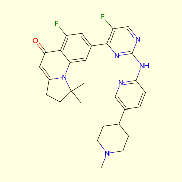 CN1CCC(c2ccc(Nc3ncc(F)c(-c4cc(F)c5c(=O)cc6n(c5c4)C(C)(C)CC6)n3)nc2)CC1